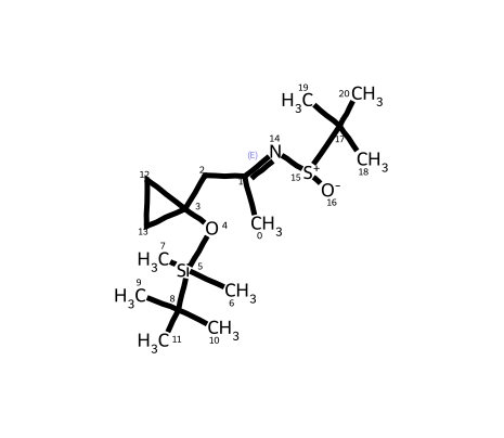 C/C(CC1(O[Si](C)(C)C(C)(C)C)CC1)=N\[S+]([O-])C(C)(C)C